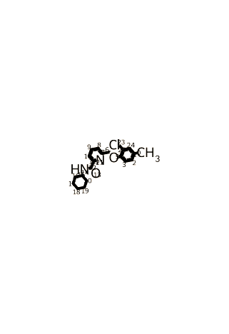 Cc1ccc(OCc2cccc(C(=O)NC3CCCCC3)n2)c(Cl)c1